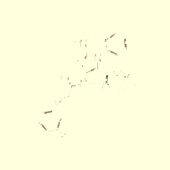 CN(C)c1nc(NC(=O)COc2cccc(Cl)c2)c(C(=O)OC(C)(C)C)n1-c1ccccc1